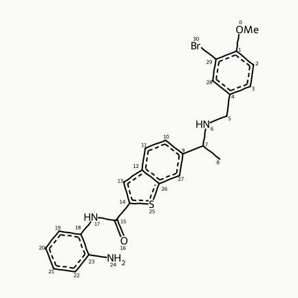 COc1ccc(CNC(C)c2ccc3cc(C(=O)Nc4ccccc4N)sc3c2)cc1Br